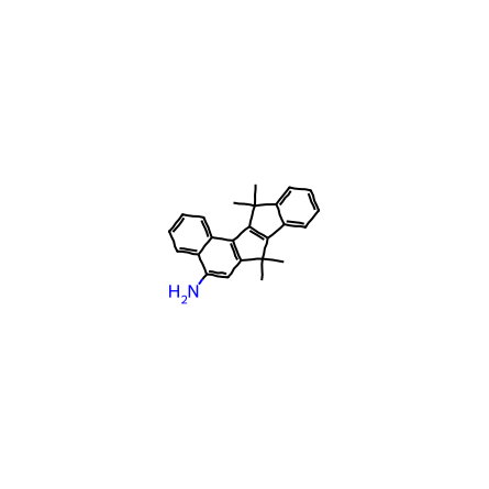 CC1(C)C2=C(c3ccccc31)C(C)(C)c1cc(N)c3ccccc3c12